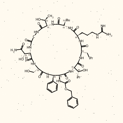 CC[C@H](C)[C@@H]1NC(=O)[C@@H](CCCNC(=N)N)NC(=O)[C@H](CC(C)C)NC(=O)[C@H]([C@H](O)C(C)C)NC(=O)[C@@H](NC(=O)OCc2ccccc2)[C@@H](c2ccccc2)NC(=O)[C@H](CO)NC(=P)[C@H]([C@H](O)C(N)=O)NC(=O)CNC(=O)[C@H]([C@H](C)O)NC1=O